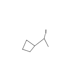 CC(I)C1CCC1